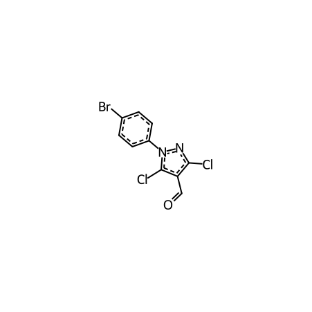 O=Cc1c(Cl)nn(-c2ccc(Br)cc2)c1Cl